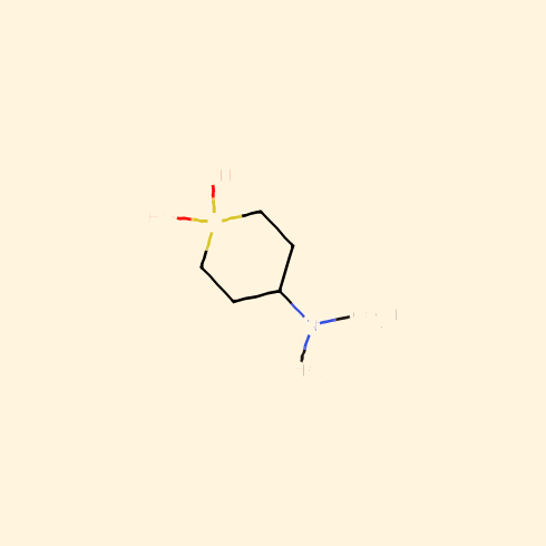 CC(C)(C)N(C(=O)O)C1CCS(O)(O)CC1